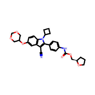 N#Cc1c(-c2ccc(NC(=O)OC[C@H]3CCCO3)cc2)n(C2CCC2)c2ccc(OC3COCOC3)cc12